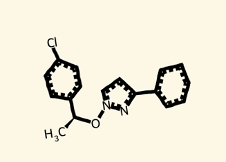 C[C@H](On1ccc(-c2ccccc2)n1)c1ccc(Cl)cc1